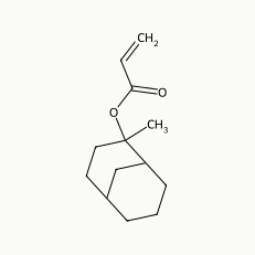 C=CC(=O)OC1(C)CCC2CCCC1C2